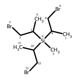 CC(CBr)[Si](C)(C(C)CBr)C(C)CBr